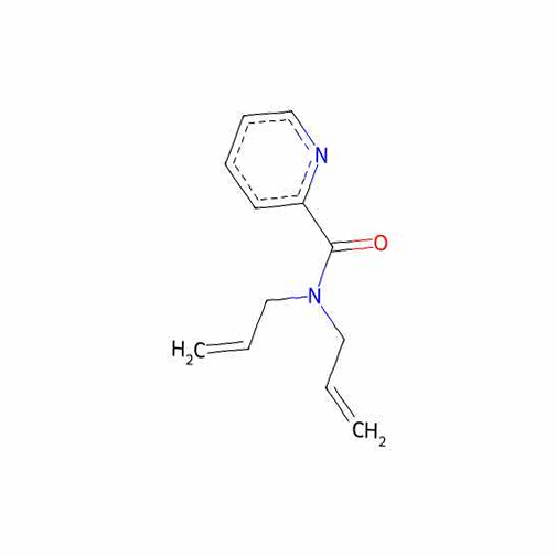 C=CCN(CC=C)C(=O)c1ccccn1